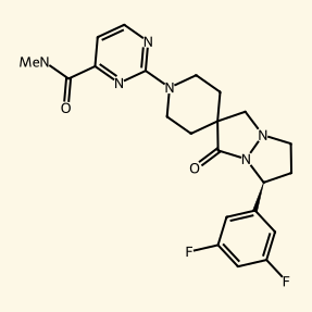 CNC(=O)c1ccnc(N2CCC3(CC2)CN2CC[C@@H](c4cc(F)cc(F)c4)N2C3=O)n1